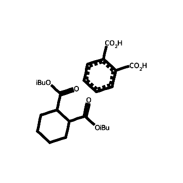 CC(C)COC(=O)C1CCCCC1C(=O)OCC(C)C.O=C(O)c1ccccc1C(=O)O